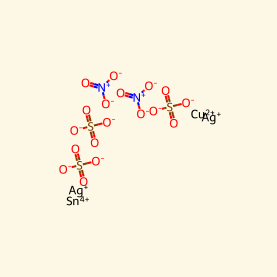 O=S(=O)([O-])[O-].O=S(=O)([O-])[O-].O=S(=O)([O-])[O-].O=[N+]([O-])[O-].O=[N+]([O-])[O-].[Ag+].[Ag+].[Cu+2].[Sn+4]